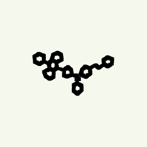 C(=Cc1ccc(N(c2ccccc2)c2ccc(-c3c4ccccc4c(-c4ccccc4)c4ccccc34)cc2)cc1)c1ccccc1